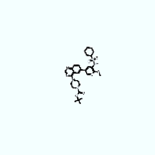 COc1ncc(-c2ccc3ncnc(N4CCN(C(=O)OC(C)(C)C)CC4)c3c2)cc1NS(=O)(=O)C1CCCCC1